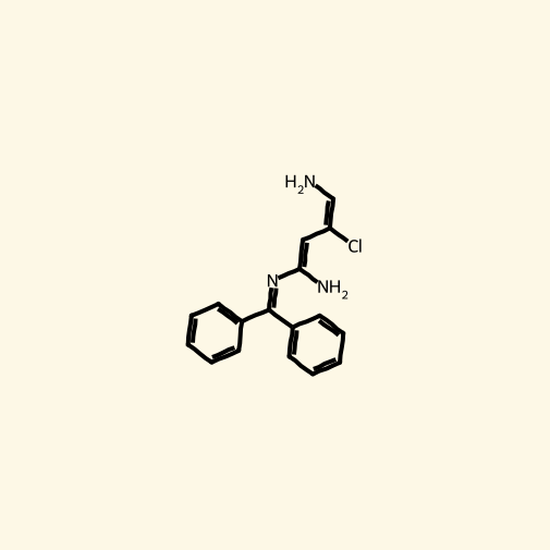 N/C=C(Cl)\C=C(/N)N=C(c1ccccc1)c1ccccc1